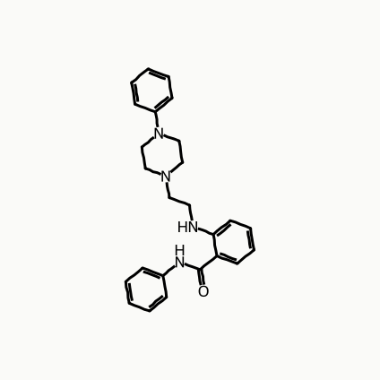 O=C(Nc1ccccc1)c1ccccc1NCCN1CCN(c2ccccc2)CC1